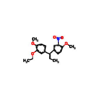 C/C=C(/c1ccc(OC)c(OCC)c1)c1ccc(OC)c([N+](=O)[O-])c1